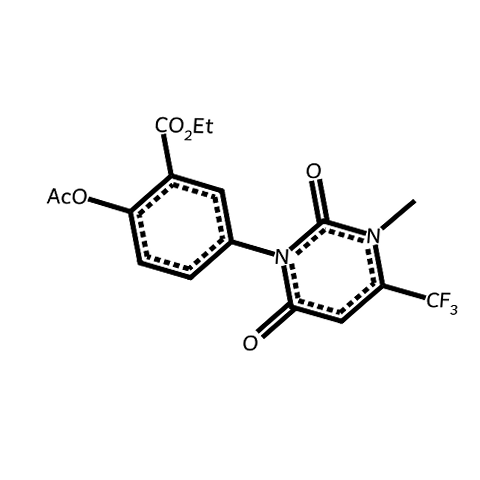 CCOC(=O)c1cc(-n2c(=O)cc(C(F)(F)F)n(C)c2=O)ccc1OC(C)=O